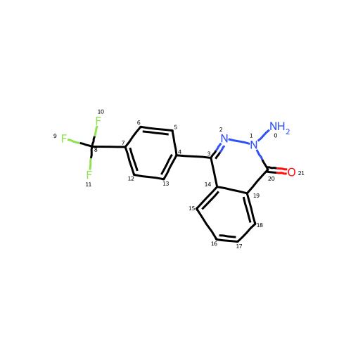 Nn1nc(-c2ccc(C(F)(F)F)cc2)c2ccccc2c1=O